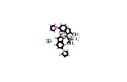 CC1=Cc2ccc(-p3cccc3)cc2[C@@H]1[Zr+2]([C@H]1C(C)=Cc2ccc(-p3cccc3)cc21)=[Si](C)C.[Cl-].[Cl-]